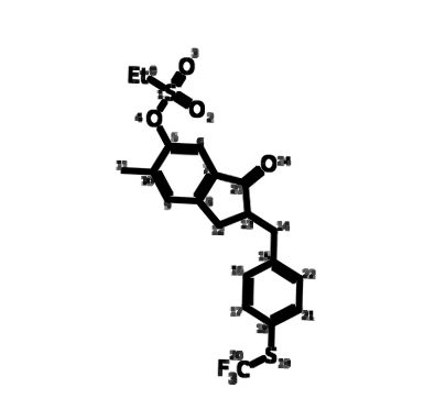 CCS(=O)(=O)Oc1cc2c(cc1C)CC(Cc1ccc(SC(F)(F)F)cc1)C2=O